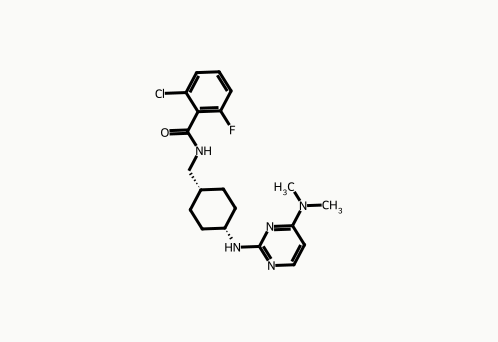 CN(C)c1ccnc(N[C@H]2CC[C@@H](CNC(=O)c3c(F)cccc3Cl)CC2)n1